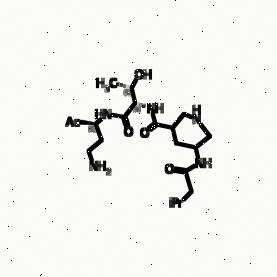 CC(=O)[C@H](CCN)NC(=O)[C@@H](NC(=O)C1CNCC(NC(=O)CC(C)C)C1)[C@H](C)O